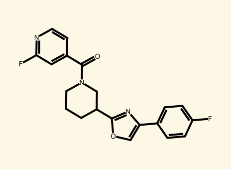 O=C(c1ccnc(F)c1)N1CCCC(c2nc(-c3ccc(F)cc3)co2)C1